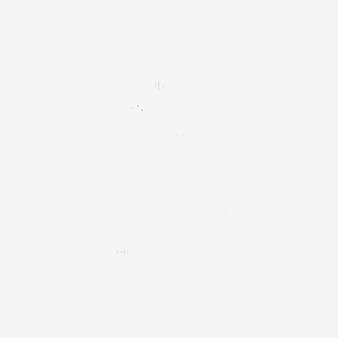 CC(C)(C)NC(=O)Oc1cc(Cl)cc(C=O)c1